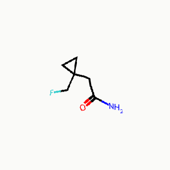 NC(=O)CC1(CF)CC1